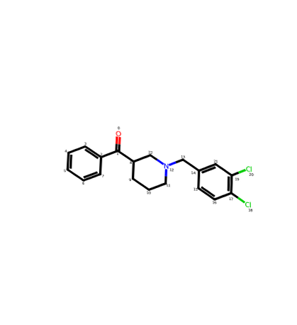 O=C(c1ccccc1)C1CCCN(Cc2ccc(Cl)c(Cl)c2)C1